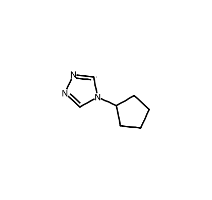 [c]1nncn1C1CCCC1